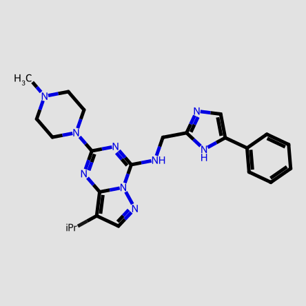 CC(C)c1cnn2c(NCc3ncc(-c4ccccc4)[nH]3)nc(N3CCN(C)CC3)nc12